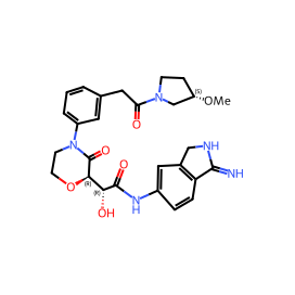 CO[C@H]1CCN(C(=O)Cc2cccc(N3CCO[C@H]([C@@H](O)C(=O)Nc4ccc5c(c4)CNC5=N)C3=O)c2)C1